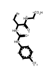 CC(C)CC(NC(=O)Nc1ccc(C(F)(F)F)cc1)C(=O)NCC(=O)O